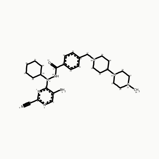 Bc1cnc(C#N)nc1N(NC(=O)c1ccc(CN2CCC(N3CCN(C)CC3)CC2)cc1)C1CCCCC1